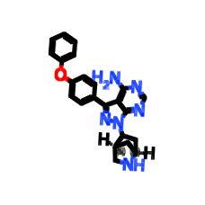 Nc1ncnc2c1c(-c1ccc(Oc3ccccc3)cc1)nn2C1C[C@@H]2C[C@H]1CN2